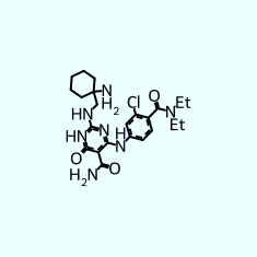 CCN(CC)C(=O)c1ccc(Nc2nc(NCC3(N)CCCCC3)[nH]c(=O)c2C(N)=O)cc1Cl